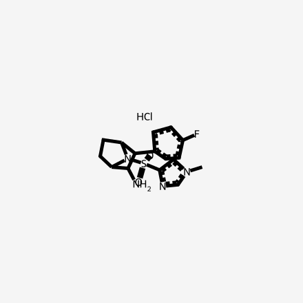 Cl.Cn1cnc(S(=O)(=O)N2C3CCC2C(c2ccc(F)cc2)C3N)c1